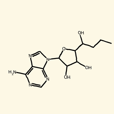 CCCC(O)C1OC(n2cnc3c(N)ncnc32)C(O)C1O